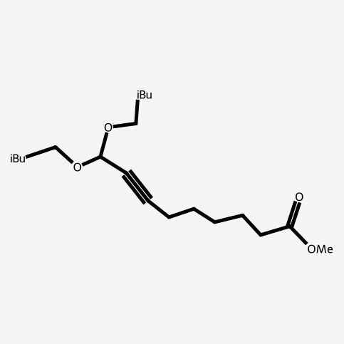 CCC(C)COC(C#CCCCCCC(=O)OC)OCC(C)CC